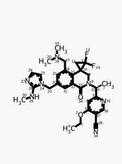 CCOc1cc([C@H](C)N2CC3(CC3(F)F)c3c(CN(C)C)cc(Cn4ccnc4NC)cc3C2=O)ncc1C#N